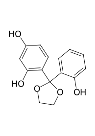 Oc1ccc(C2(c3ccccc3O)OCCO2)c(O)c1